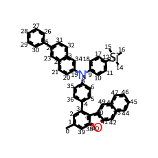 Cc1cc(-c2ccc(N(c3ccc([Si](C)(C)C)cc3)c3ccc4cc(-c5ccccc5)ccc4c3)cc2)c2c(c1)oc1cc3ccccc3cc12